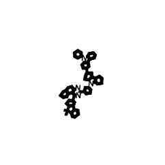 CC1(C)c2ccccc2-c2cc(-c3nc(-c4cccc(-n5c6ccccc6c6cc(-c7ccc8c(c7)c7ccccc7n8-c7ccccc7)ccc65)c4)nc4ccc5ccccc5c34)ccc21